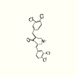 CN1C/C(=C\c2ccc(Cl)c(Cl)c2)C(=O)/C(=C/c2ccc(Cl)c(Cl)c2)C1